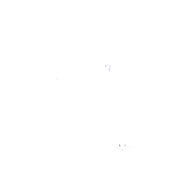 COc1ccc(C(=O)c2ccon2)cc1